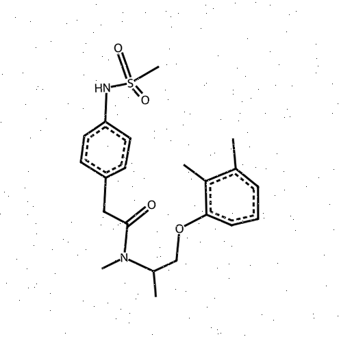 Cc1cccc(OCC(C)N(C)C(=O)Cc2ccc(NS(C)(=O)=O)cc2)c1C